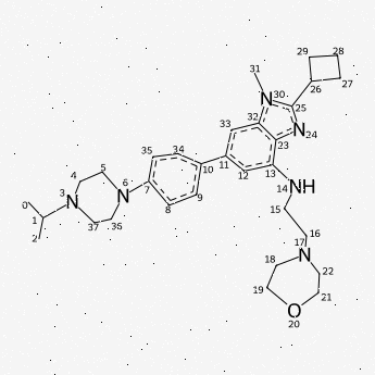 CC(C)N1CCN(c2ccc(-c3cc(NCCN4CCOCC4)c4nc(C5CCC5)n(C)c4c3)cc2)CC1